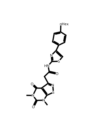 CCCCCCc1ccc(-c2csc(NC(=O)Cc3nsc4c3c(=O)n(C)c(=O)n4C)n2)cc1